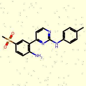 Cc1ccc(Nc2nccc(-c3cc(S(C)(=O)=O)ccc3N)n2)cc1